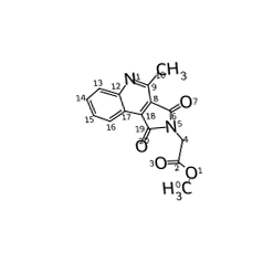 COC(=O)CN1C(=O)c2c(C)nc3ccccc3c2C1=O